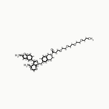 CCCOCCOCCOCCOCCC(=O)N1CCc2cc(Cn3nc(-c4ccc5oc(N)cc5c4)c4c(N)ncnc43)ccc2C1